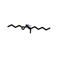 CCCCC/C(C)=N/OCCCC